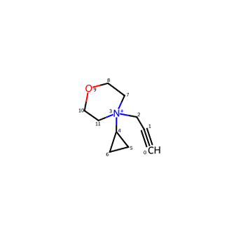 C#CC[N+]1(C2CC2)CCOCC1